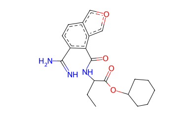 CCC(NC(=O)c1c(C(=N)N)ccc2cocc12)C(=O)OC1CCCCC1